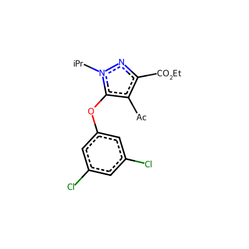 CCOC(=O)c1nn(C(C)C)c(Oc2cc(Cl)cc(Cl)c2)c1C(C)=O